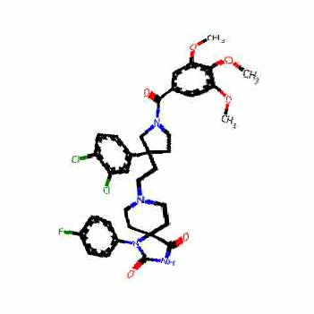 COc1cc(C(=O)N2CCC(CCN3CCC4(CC3)C(=O)NC(=O)N4c3ccc(F)cc3)(c3ccc(Cl)c(Cl)c3)C2)cc(OC)c1OC